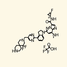 CNc1cc(N2CCc3c(-c4ncc(CN5CCC6(CCNCC6)C(F)(F)C5)cn4)cccc32)nn2c(C(=O)N[C@@H]3C[C@@H]3F)cnc12.O=C(O)C(F)(F)F